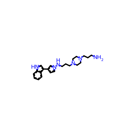 NCCCN1CCN(CCCNn2ccc(-c3c[nH]c4ccccc34)c2)CC1